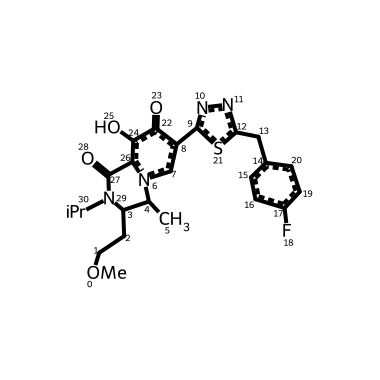 COCCC1C(C)n2cc(-c3nnc(Cc4ccc(F)cc4)s3)c(=O)c(O)c2C(=O)N1C(C)C